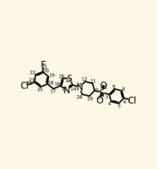 O=S(=O)(c1ccc(Cl)cc1)C1CCN(c2nc(Cc3cc(F)cc(Cl)c3)cs2)CC1